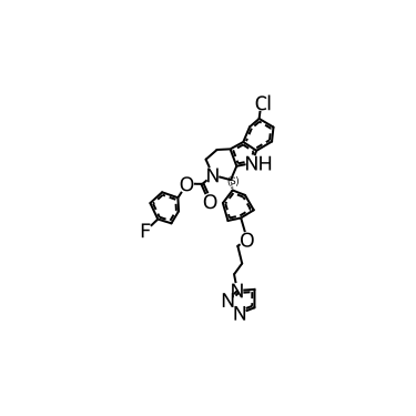 O=C(Oc1ccc(F)cc1)N1CCc2c([nH]c3ccc(Cl)cc23)[C@@H]1c1ccc(OCCCn2ccnn2)cc1